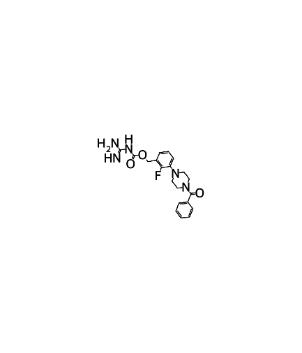 N=C(N)NC(=O)OCc1cccc(N2CCN(C(=O)c3ccccc3)CC2)c1F